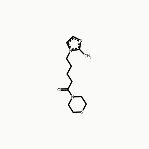 Cc1n[c]cn1CCCCC(=O)N1CCSCC1